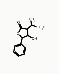 CC(C(=O)O)C1C(=O)OC(c2ccccc2)C1O